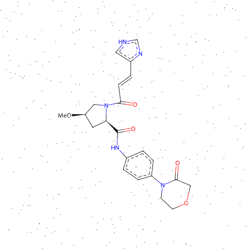 CO[C@@H]1C[C@H](C(=O)Nc2ccc(N3CCOCC3=O)cc2)N(C(=O)/C=C/c2c[nH]cn2)C1